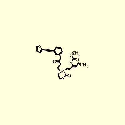 C=C/C=C(/CCN1C(=O)SCCN1CCC(=O)Cc1cccc(C#Cc2cccs2)c1)SC(=O)OC